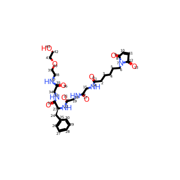 O=C(CCCCCN1C(=O)C=CC1=O)NCC(=O)NCC(=O)N[C@@H](Cc1ccccc1)C(=O)NCC(=O)NCCOCCO